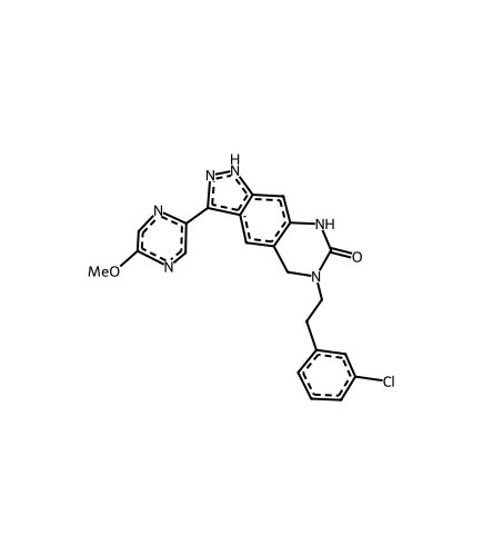 COc1cnc(-c2n[nH]c3cc4c(cc23)CN(CCc2cccc(Cl)c2)C(=O)N4)cn1